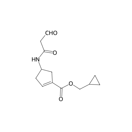 O=CCC(=O)NC1CC=C(C(=O)OCC2CC2)C1